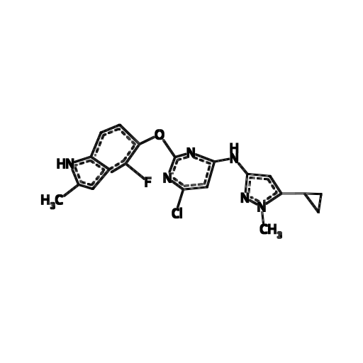 Cc1cc2c(F)c(Oc3nc(Cl)cc(Nc4cc(C5CC5)n(C)n4)n3)ccc2[nH]1